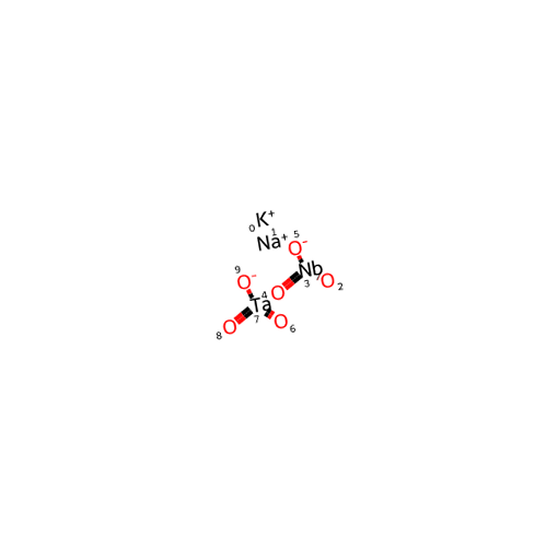 [K+].[Na+].[O]=[Nb](=[O])[O-].[O]=[Ta](=[O])[O-]